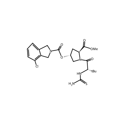 COC(=O)[C@@H]1C[C@@H](OC(=O)N2Cc3cccc(Cl)c3C2)CN1C(=O)[C@@H](NC(N)=S)C(C)(C)C